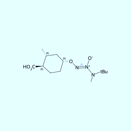 C[C@@H]1C[C@H](O/N=[N+](\[O-])N(C)C(C)(C)C)CC[C@H]1C(=O)O